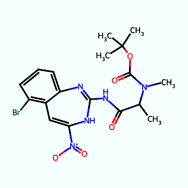 CC(C(=O)NC1=Nc2cccc(Br)c2C=C([N+](=O)[O-])N1)N(C)C(=O)OC(C)(C)C